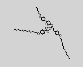 CCCCCCCCCCCCCCOc1ccc(CCC(=O)O[C@H]2CC[C@@H](c3ccc(OCCCCCC)cc3)O[C@@H]2COC(=O)c2ccc(OCCCCCCCCCCCCCC)cc2)cc1